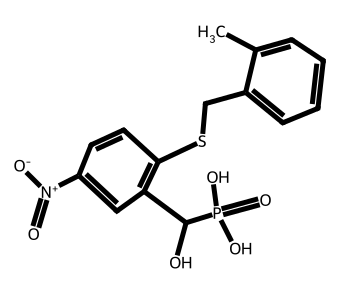 Cc1ccccc1CSc1ccc([N+](=O)[O-])cc1C(O)P(=O)(O)O